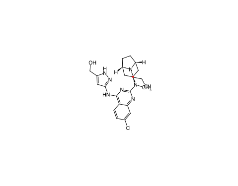 CN(c1nc(Nc2cc(CO)[nH]n2)c2ccc(Cl)cc2n1)[C@@H]1C[C@H]2CC[C@@H](C1)N2CCC#N